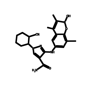 CC1=C(C)c2cc(Nc3nn(C4CCCCC4C#N)cc3C(N)=O)cc(C)c2OB1O